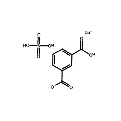 O=C([O-])c1cccc(C(=O)O)c1.O=S(=O)(O)O.[Na+]